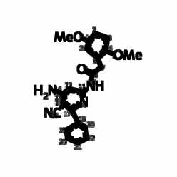 COc1ccc(OC)c(CC(=O)Nc2cc(N)c(C#N)c(-c3ccccc3)n2)c1